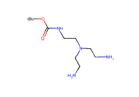 CC(C)(C)OC(=O)NCCN(CCN)CCN